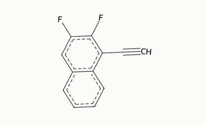 C#Cc1c(F)c(F)cc2ccccc12